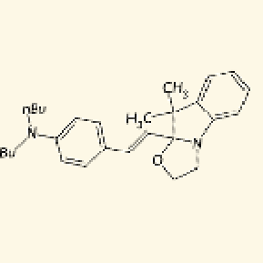 CCCCN(CCCC)c1ccc(C=CC23OCCN2c2ccccc2C3(C)C)cc1